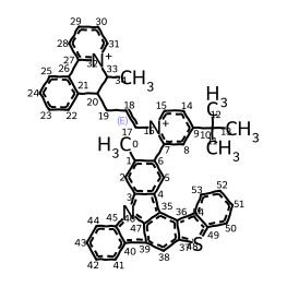 Cc1cc2c(cc1-c1cc(C(C)(C)C)cc[n+]1/C=C/CC1c3ccccc3-c3cccc[n+]3C1C)c1c3c(cc4c5ccccc5n2c41)sc1ccccc13